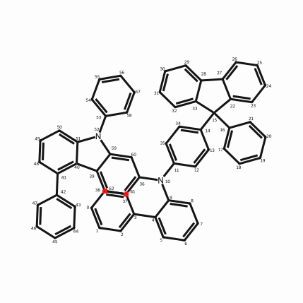 c1ccc(-c2ccccc2N(c2ccc(C3(c4ccccc4)c4ccccc4-c4ccccc43)cc2)c2ccc3c4c(-c5ccccc5)cccc4n(-c4ccccc4)c3c2)cc1